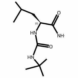 CC(C)C[C@H](NC(=O)NC(C)(C)C)C([NH])=O